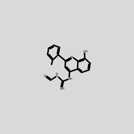 Cc1ccccc1-c1cc(NC(=N)NC=O)c2cccc(O)c2n1